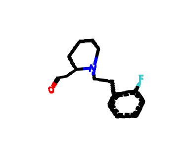 O=CCC1CCCCN1CCc1ccccc1F